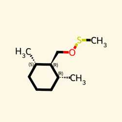 CSOC[C@H]1[C@H](C)CCC[C@@H]1C